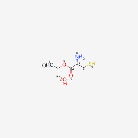 N[C@@H](CS)C(=O)OC(C=O)CO